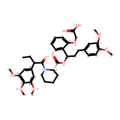 CCC(C(=O)N1CCCC[C@H]1C(=O)OC(CCc1ccc(OC)c(OC)c1)c1ccccc1OCC(=O)O)c1cc(OC)c(OC)c(OC)c1